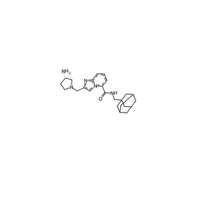 N[C@H]1CCN(Cc2cn3c(C(=O)NCC45CC6CC(CC(C6)C4)C5)cccc3n2)C1